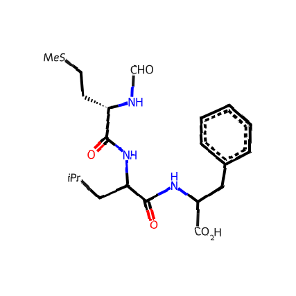 CSCC[C@H](NC=O)C(=O)NC(CC(C)C)C(=O)NC(Cc1ccccc1)C(=O)O